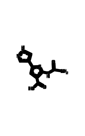 NC(=O)Nc1sc(-c2cn[nH]c2)cc1C(=O)O